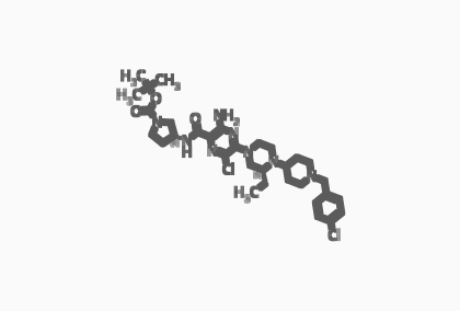 CC[C@H]1CN(c2nc(N)c(C(=O)N[C@@H]3CCN(C(=O)OC(C)(C)C)C3)nc2Cl)CCN1C1CCN(Cc2ccc(Cl)cc2)CC1